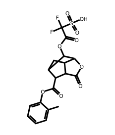 Cc1ccccc1OC(=O)C1C2CC3C(OC(=O)C31)C2OC(=O)C(F)(F)S(=O)(=O)O